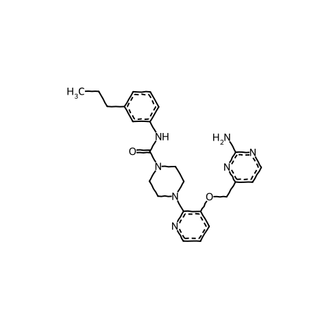 CCCc1cccc(NC(=O)N2CCN(c3ncccc3OCc3ccnc(N)n3)CC2)c1